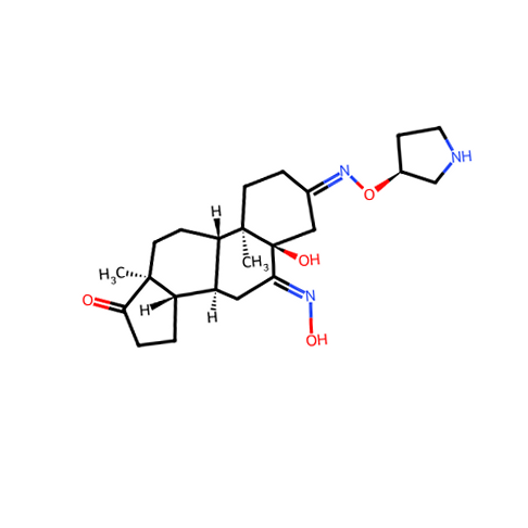 C[C@]12CC[C@H]3[C@@H](C/C(=N\O)[C@@]4(O)CC(=NO[C@H]5CCNC5)CC[C@]34C)[C@@H]1CCC2=O